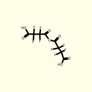 O=C(O)C(F)(F)C(F)(F)C(=O)OC(=O)C(F)(F)C(F)(F)C(=O)O